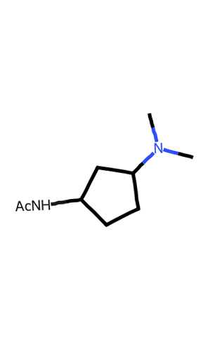 CC(=O)NC1CCC(N(C)C)C1